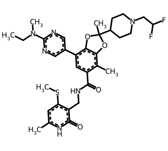 CCN(C)c1ncc(-c2cc(C(=O)NCc3c(SC)cc(C)[nH]c3=O)c(C)c3c2OC(C)(C2CCN(CC(F)F)CC2)O3)cn1